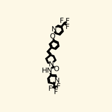 O=C(Nc1ccc(C(F)(F)F)nc1)N1CCC(=Cc2cccc(Oc3ccc(C(F)(F)F)cn3)c2)CC1